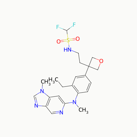 CCc1cc(C2(CCNS(=O)(=O)C(F)F)COC2)ccc1N(C)c1cc2c(cn1)ncn2C